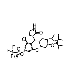 CC(C)[Si](O[C@H]1CC[C@H](C(c2c(Cl)cc(OS(=O)(=O)C(F)(F)F)cc2Cl)[C@H]2CCNC2=O)CC1)(C(C)C)C(C)C